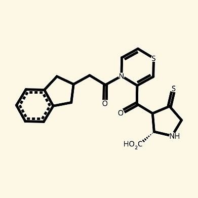 O=C(C1=CSC=CN1C(=O)CC1Cc2ccccc2C1)C1C(=S)CN[C@@H]1C(=O)O